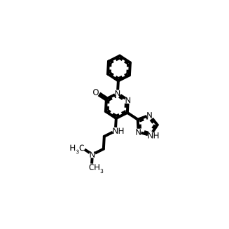 CN(C)CCNc1cc(=O)n(-c2ccccc2)nc1-c1nc[nH]n1